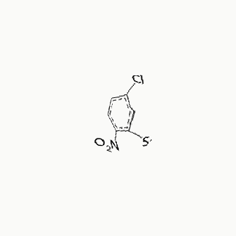 O=[N+]([O-])c1ccc(Cl)cc1[S]